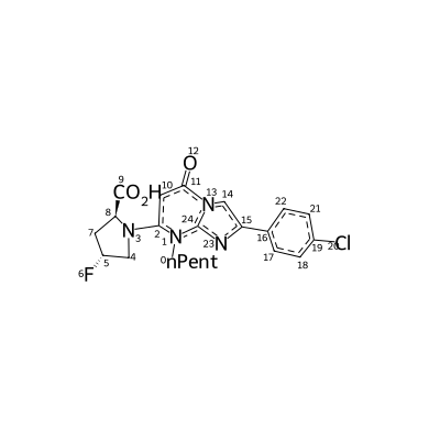 CCCCCn1c(N2C[C@H](F)C[C@H]2C(=O)O)cc(=O)n2cc(-c3ccc(Cl)cc3)nc12